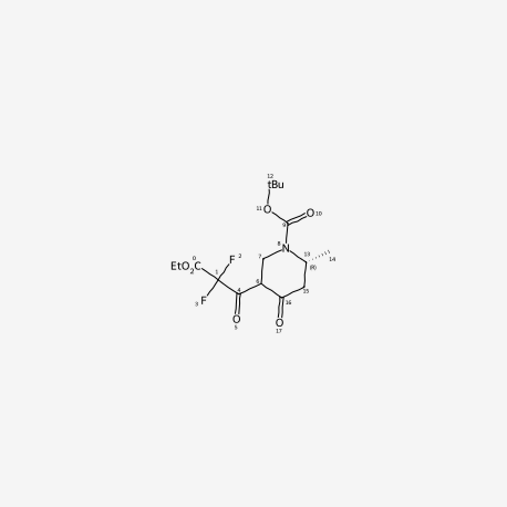 CCOC(=O)C(F)(F)C(=O)C1CN(C(=O)OC(C)(C)C)[C@H](C)CC1=O